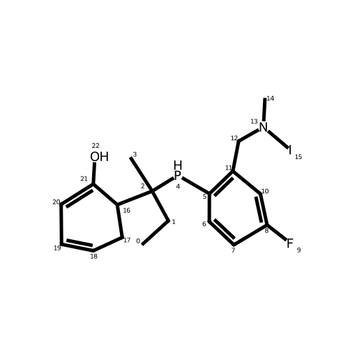 CCC(C)(Pc1ccc(F)cc1CN(C)I)C1CC=CC=C1O